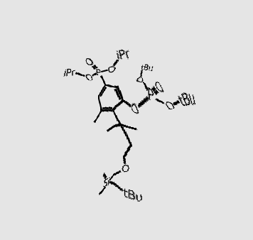 Cc1cc(P(=O)(OC(C)C)OC(C)C)cc(OP(=O)(OC(C)(C)C)OC(C)(C)C)c1C(C)(C)CCO[Si](C)(C)C(C)(C)C